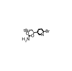 CC(C)(C)C[C@H](OC(N)=O)c1ccc(Br)nc1